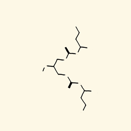 COC(COC(=O)NC(C)CCO)COC(=O)NC(C)CCO